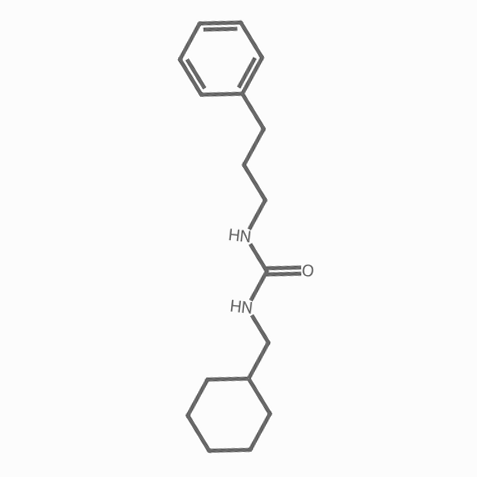 O=C(NCCCc1ccccc1)NCC1CCCCC1